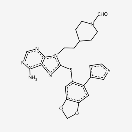 Nc1ncnc2c1nc(Sc1cc3c(cc1-c1ccsc1)OCO3)n2CCC1CCN(C=O)CC1